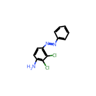 Nc1ccc(N=Nc2ccccc2)c(Cl)c1Cl